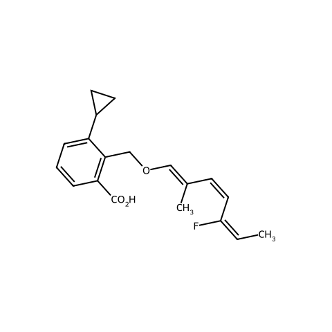 C\C=C(F)/C=C\C(C)=C\OCc1c(C(=O)O)cccc1C1CC1